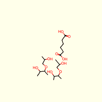 CC(O)COC(C)C(C)O.CC(O)COC(C)C(C)O.O=C(O)CCCCC(=O)O